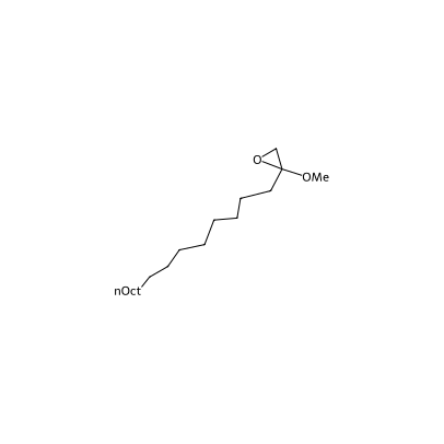 CCCCCCCCCCCCCCCCC1(OC)CO1